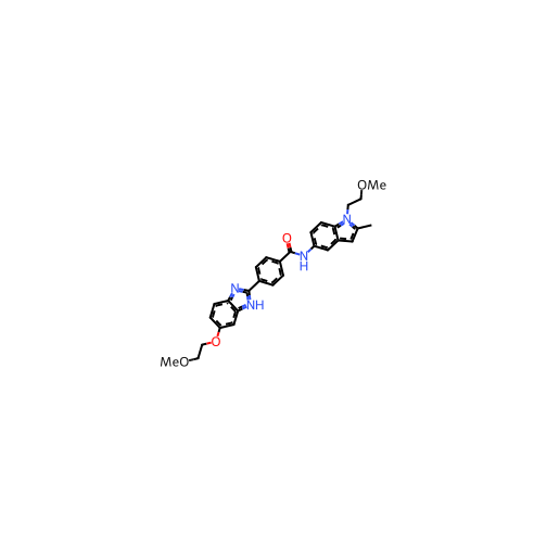 COCCOc1ccc2nc(-c3ccc(C(=O)Nc4ccc5c(c4)cc(C)n5CCOC)cc3)[nH]c2c1